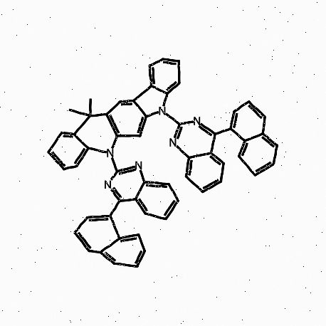 CC1(C)c2ccccc2N(c2nc(-c3cccc4ccccc34)c3ccccc3n2)c2cc3c(cc21)c1ccccc1n3-c1nc(-c2cccc3ccccc23)c2ccccc2n1